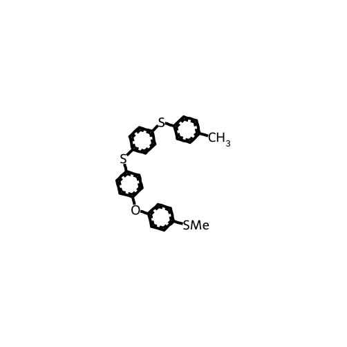 CSc1ccc(Oc2ccc(Sc3ccc(Sc4ccc(C)cc4)cc3)cc2)cc1